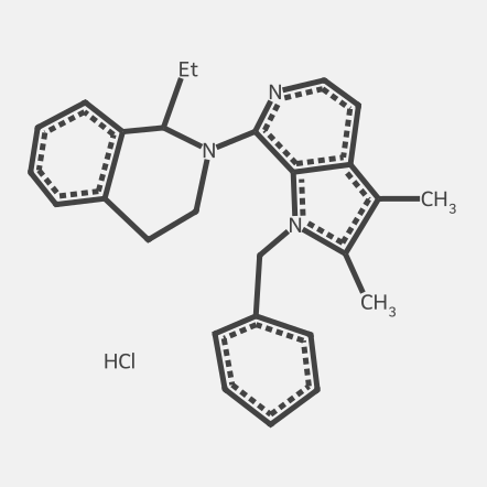 CCC1c2ccccc2CCN1c1nccc2c(C)c(C)n(Cc3ccccc3)c12.Cl